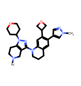 CC(=O)N1CCc2c(c(N3CCCc4cc(-c5cnn(C)c5)c(C5COC5)cc43)nn2C2CCOCC2)C1